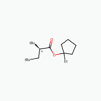 CCC1(OC(=O)[C@@H](CC(C)(C)C)C(C)(C)C)CCCC1